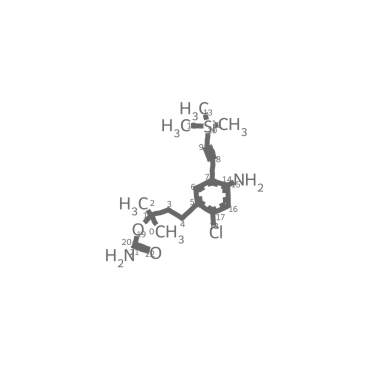 CC(C)(CCc1cc(C#C[Si](C)(C)C)c(N)cc1Cl)OC(N)=O